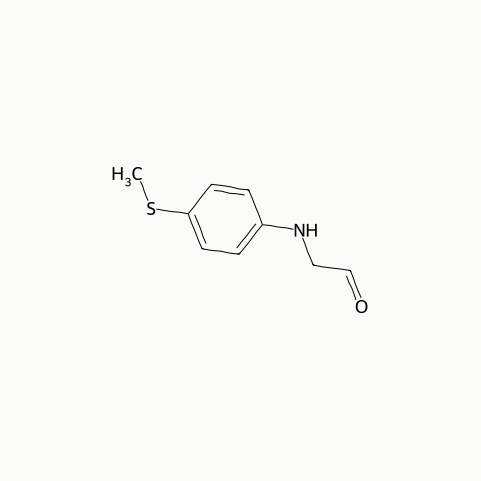 CSc1ccc(NCC=O)cc1